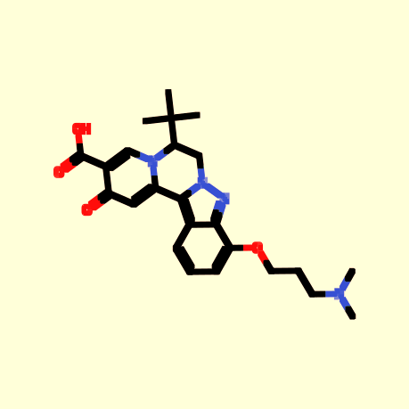 CN(C)CCCOc1cccc2c3n(nc12)CC(C(C)(C)C)n1cc(C(=O)O)c(=O)cc1-3